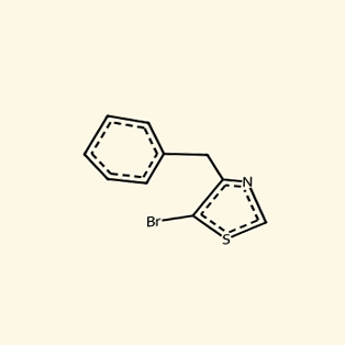 Brc1scnc1Cc1ccccc1